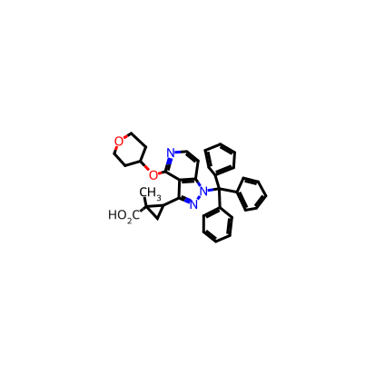 CC1(C(=O)O)CC1c1nn(C(c2ccccc2)(c2ccccc2)c2ccccc2)c2ccnc(OC3CCOCC3)c12